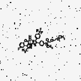 COCCOCC(=O)N(C)c1ccc(-c2sc(-n3nc(C)c(-c4cccc(F)c4)c3C(=O)O)nc2-c2ccc(C(F)(F)F)cc2)cc1